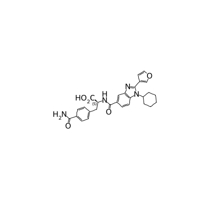 NC(=O)c1ccc(C[C@H](NC(=O)c2ccc3c(c2)nc(-c2ccoc2)n3C2CCCCC2)C(=O)O)cc1